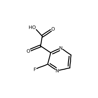 O=C(O)C(=O)c1nccnc1F